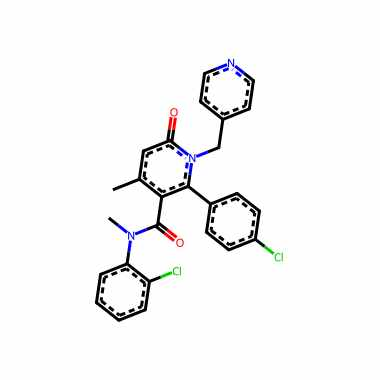 Cc1cc(=O)n(Cc2ccncc2)c(-c2ccc(Cl)cc2)c1C(=O)N(C)c1ccccc1Cl